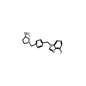 NC1CCN(Cc2ccc(Cn3cnc4c(F)cccc43)cc2)C1